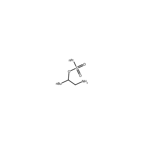 CCCCC(CN)OS(=O)(=O)CCC